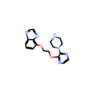 c1cc(OCCOc2nccnc2N2CCNCC2)c2nccnc2c1